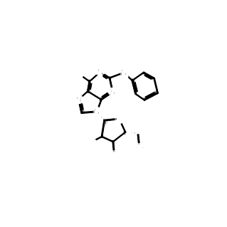 OC[C@H]1O[C@@H](n2cnc3c(O)nc(Nc4ccccc4)nc32)C(O)C1O